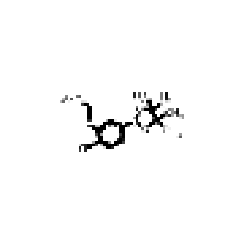 COCOc1cc(B2OC(C)(C)C(C)(C)O2)ccc1Cl